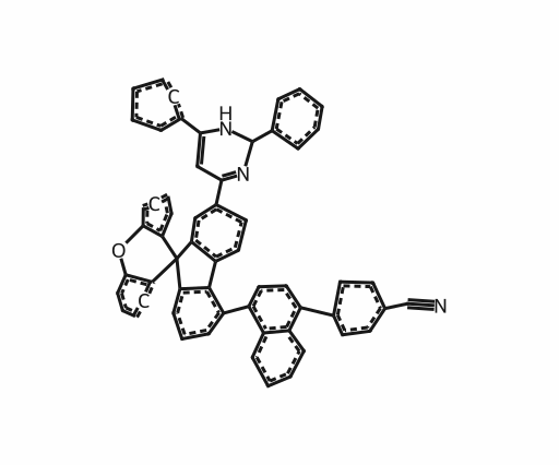 N#Cc1ccc(-c2ccc(-c3cccc4c3-c3ccc(C5=NC(c6ccccc6)NC(c6ccccc6)=C5)cc3C43c4ccccc4Oc4ccccc43)c3ccccc23)cc1